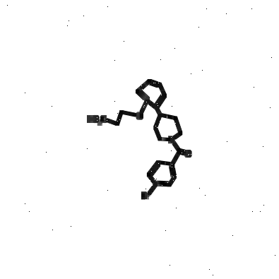 O=C(O)CCOc1ccccc1C1CCN(C(=O)c2ccc(Br)cc2)CC1